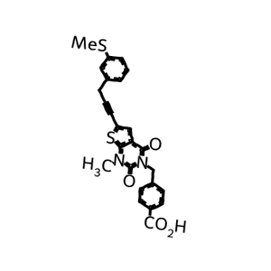 CSc1cccc(CC#Cc2cc3c(=O)n(Cc4ccc(C(=O)O)cc4)c(=O)n(C)c3s2)c1